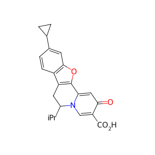 CC(C)C1Cc2c(oc3cc(C4CC4)ccc23)-c2cc(=O)c(C(=O)O)cn21